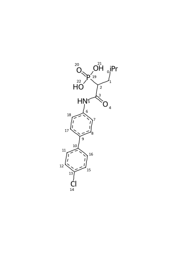 CC(C)CC(C(=O)Nc1ccc(-c2ccc(Cl)cc2)cc1)P(=O)(O)O